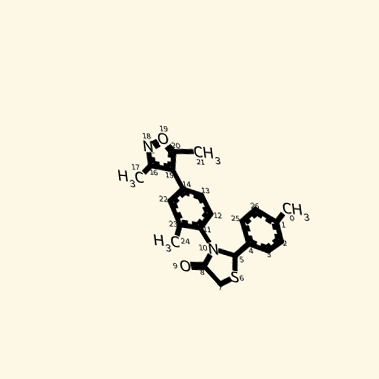 Cc1ccc(C2SCC(=O)N2c2ccc(-c3c(C)noc3C)cc2C)cc1